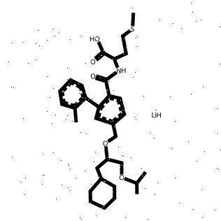 CSCCC(NC(=O)c1ccc(COC(COC(C)C)CC2CCCCC2)cc1-c1ccccc1C)C(=O)O.[LiH]